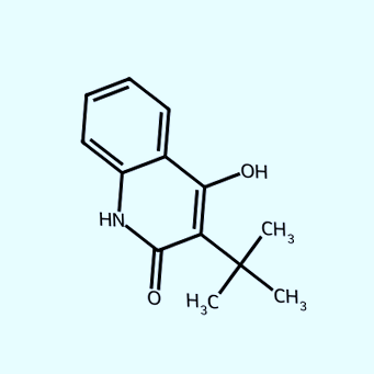 CC(C)(C)c1c(O)c2ccccc2[nH]c1=O